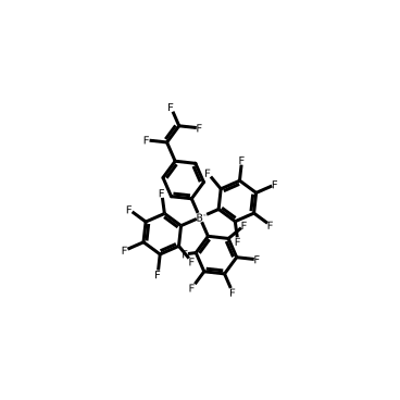 FC(F)=C(F)c1ccc([B-](c2c(F)c(F)c(F)c(F)c2F)(c2c(F)c(F)c(F)c(F)c2F)c2c(F)c(F)c(F)c(F)c2F)cc1